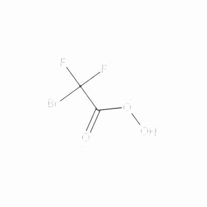 O=C(OO)C(F)(F)Br